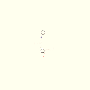 CC(=O)Oc1ccc(CCC(O)CC/C=C/c2ccccc2)cc1OC(C)=O